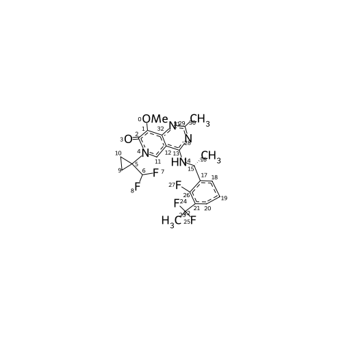 COc1c(=O)n(C2(C(F)F)CC2)cc2c(N[C@H](C)c3cccc(C(C)(F)F)c3F)nc(C)nc12